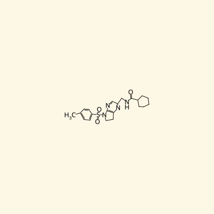 Cc1ccc(S(=O)(=O)N2CCc3nc(CNC(=O)C4CCCCC4)cnc32)cc1